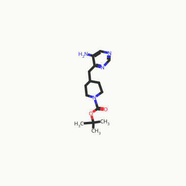 CC(C)(C)OC(=O)N1CCC(Cc2ncncc2N)CC1